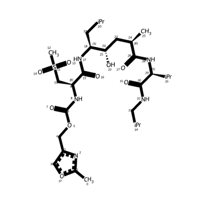 Cc1nc(COC(=O)N[C@@H](CS(C)(=O)=O)C(=O)N[C@@H](CC(C)C)[C@@H](O)C[C@@H](C)C(=O)N[C@H](C(=O)NCC(C)C)C(C)C)co1